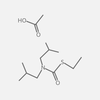 CC(=O)O.CCSC(=O)N(CC(C)C)CC(C)C